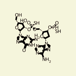 Nc1nc2c(ncn2[C@@H]2O[C@H](CO)[C@H](O)[C@@H]2OP(=O)(S)OC[C@H]2O[C@@H](n3cnc4c(N)ncnc43)C[C@H]2O[PH](=O)S)c(=O)[nH]1